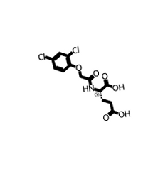 O=C(O)CC[C@H](NC(=O)COc1ccc(Cl)cc1Cl)C(=O)O